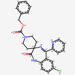 O=C(OCc1ccccc1)N1CCC2(CC1)N=C(c1ccccn1)c1cc(Cl)ccc1NC2=O